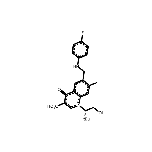 Cc1cc2c(cc1CNc1ccc(F)cc1)c(=O)c(C(=O)O)cn2[C@H](CO)C(C)(C)C